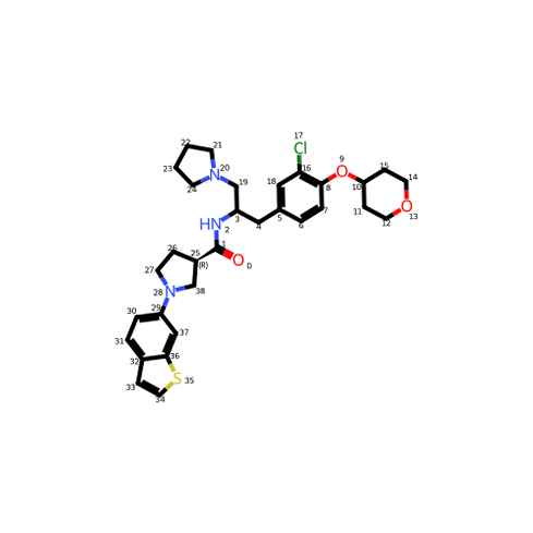 O=C(NC(Cc1ccc(OC2CCOCC2)c(Cl)c1)CN1CCCC1)[C@@H]1CCN(c2ccc3ccsc3c2)C1